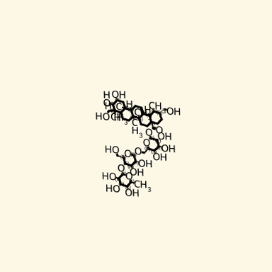 C[C@H]1[C@H](CO)CC[C@]2(C(=O)O[C@@H]3O[C@H](CO[C@@H]4O[C@H](CO)[C@@H](O[C@@H]5O[C@@H](C)[C@H](O)[C@@H](O)[C@H]5O)[C@H](O)[C@H]4O)[C@@H](O)[C@H](O)[C@H]3O)CC[C@]3(C)C(=CC[C@@H]4[C@@]5(C)C[C@@H](O)[C@H](O)[C@@](C)(CO)[C@@H]5CC[C@]43C)[C@H]12